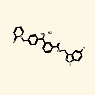 COC(c1ccc(Cn2ccccc2=O)cc1)c1cccc(C(=O)NCc2n[nH]c3ccc(Cl)cc23)c1.Cl